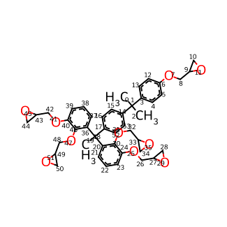 CC(C)(c1ccc(OCC2CO2)cc1)c1ccc(C(C)(c2cccc(OCC3CO3)c2OCC2CO2)c2cccc(OCC3CO3)c2OCC2CO2)cc1